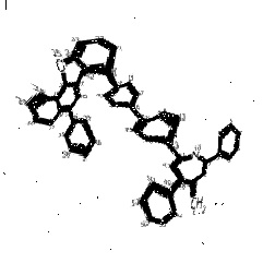 C=C1CC(c2ccccc2)N=C(c2ccc(-c3ccc(-c4cccc5oc6c7ccccc7c(-c7ccccc7)cc6c45)cc3)cc2)C=C1C1=CCCC=C1